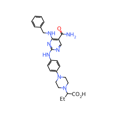 CCC(C(=O)O)N1CCN(c2ccc(Nc3ncc(C(N)=O)c(NCc4ccccc4)n3)cc2)CC1